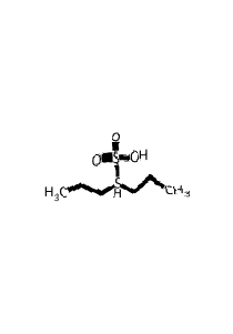 CCC[SH](CCC)S(=O)(=O)O